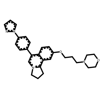 c1cnn(-c2ccc(-c3c[n+]4c(c5cc(OCCCN6CCOCC6)ccc35)CCC4)cc2)c1